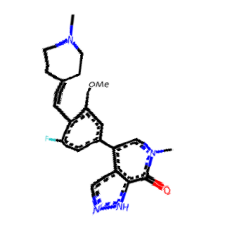 COc1cc(-c2cn(C)c(=O)c3[nH]ncc23)cc(F)c1C=C1CCN(C)CC1